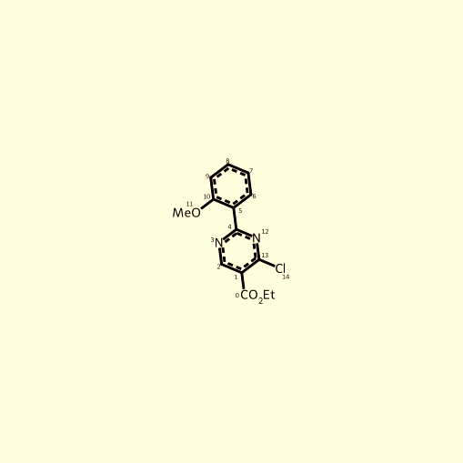 CCOC(=O)c1cnc(-c2ccccc2OC)nc1Cl